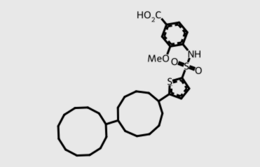 COc1cc(C(=O)O)ccc1NS(=O)(=O)c1ccc(C2CCCCCC(C3CCCCCCCCCCC3)CCCC2)s1